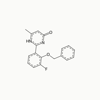 Cc1cc(=O)nc(-c2cccc(F)c2OCc2ccccc2)[nH]1